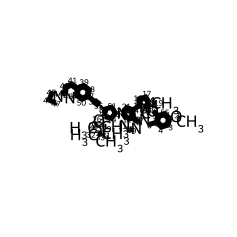 COc1ccc(CNc2ncnc3c2c(-c2ccn(C)n2)cn3[C@H]2CC(O[Si](C)(C)C(C)(C)C)[C@@H](C#Cc3ccc4ccc(N5CCC5)nc4c3)C2)c(OC)c1